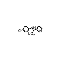 CC(Nc1ccc(Cl)cc1[N+](=O)[O-])c1cccnc1